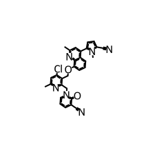 Cc1cc(Cl)c(COc2cccc3c(-c4ccc(C#N)n4C)cc(C)nc23)c(Cn2cccc(C#N)c2=O)n1